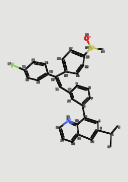 CC(C)c1cc(-c2cccc(C=C(c3ccc(F)cc3)c3ccc([S+](C)[O-])cc3)c2)c2ncccc2c1